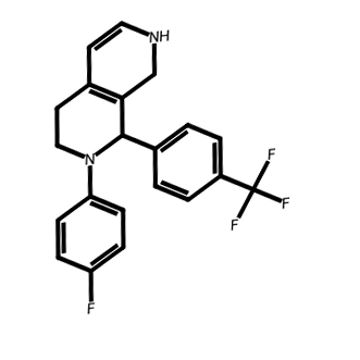 Fc1ccc(N2CCC3=C(CNC=C3)C2c2ccc(C(F)(F)F)cc2)cc1